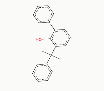 CC(C)(c1ccccc1)c1cccc(-c2ccccc2)c1O